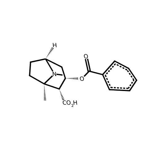 CN1[C@H]2CC[C@]1(C)[C@@H](C(=O)O)[C@@H](OC(=O)c1ccccc1)C2